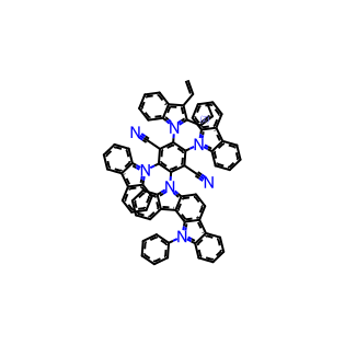 C=Cc1c(/C=C\C)n(-c2c(C#N)c(-n3c4ccccc4c4ccccc43)c(-n3c4ccccc4c4c3ccc3c5ccccc5n(-c5ccccc5)c34)c(C#N)c2-n2c3ccccc3c3ccccc32)c2ccccc12